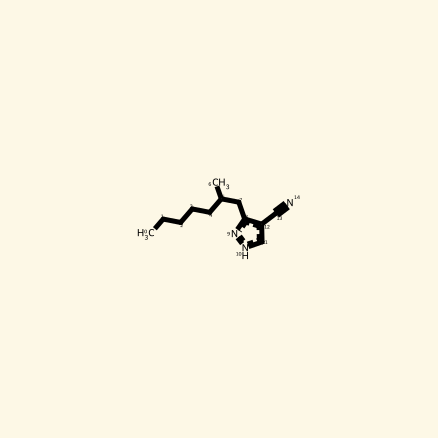 CCCCCC(C)Cc1n[nH]cc1C#N